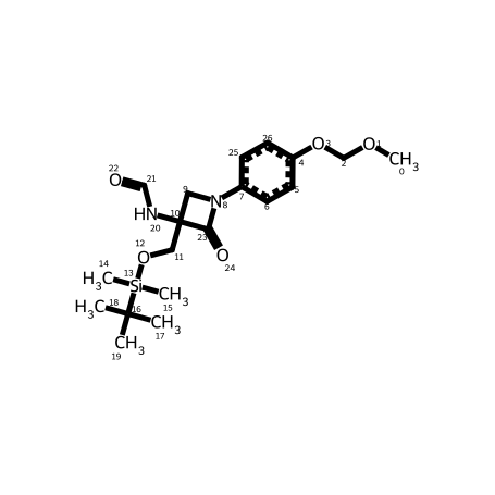 COCOc1ccc(N2CC(CO[Si](C)(C)C(C)(C)C)(NC=O)C2=O)cc1